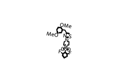 COc1ccc(OC)c(Cc2csc(N3CCN(S(=O)(=O)c4c(F)cccc4F)CC3)n2)c1